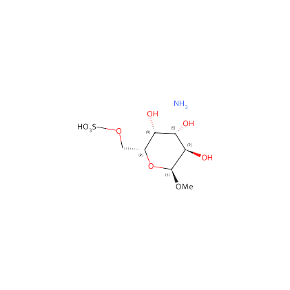 CO[C@H]1O[C@H](COS(=O)(=O)O)[C@H](O)[C@H](O)[C@H]1O.N